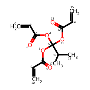 C=CC(=O)OC(OC(=O)C=C)(OC(=O)C=C)C(C)C